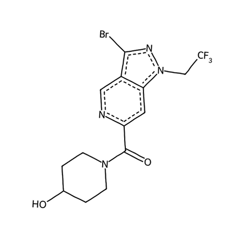 O=C(c1cc2c(cn1)c(Br)nn2CC(F)(F)F)N1CCC(O)CC1